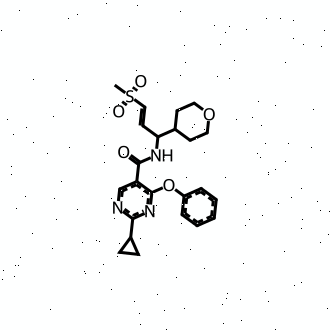 CS(=O)(=O)/C=C/C(NC(=O)c1cnc(C2CC2)nc1Oc1ccccc1)C1CCOCC1